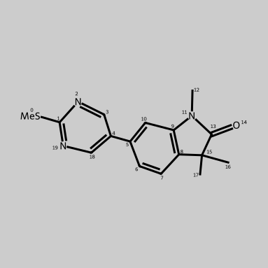 CSc1ncc(-c2ccc3c(c2)N(C)C(=O)C3(C)C)cn1